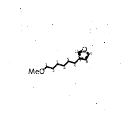 [CH2]OCCCCCCc1ccoc1